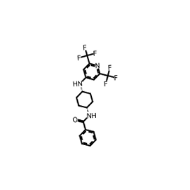 O=C(N[C@H]1CC[C@@H](Nc2cc(C(F)(F)F)nc(C(F)(F)F)c2)CC1)c1ccccc1